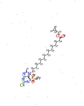 Cc1nc2nc(Cl)nc(S(=O)(=O)C(C)C)c2n1CCCCCCCCCCCCCCCC(=O)OCC1CC1